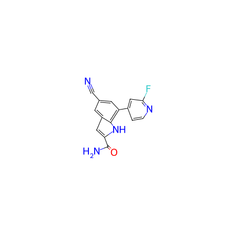 N#Cc1cc(-c2ccnc(F)c2)c2[nH]c(C(N)=O)cc2c1